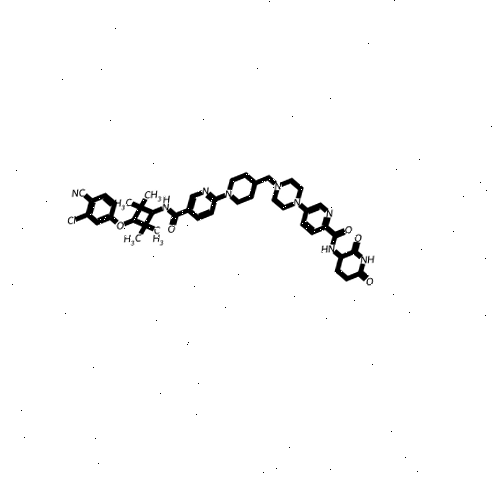 CC1(C)C(NC(=O)c2ccc(N3CCC(CN4CCN(c5ccc(C(=O)NC6CCC(=O)NC6=O)nc5)CC4)CC3)nc2)C(C)(C)C1Oc1ccc(C#N)c(Cl)c1